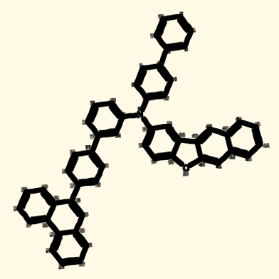 c1ccc(-c2ccc(N(c3cccc(-c4ccc(-c5cc6ccccc6c6ccccc56)cc4)c3)c3ccc4oc5cc6ccccc6cc5c4c3)cc2)cc1